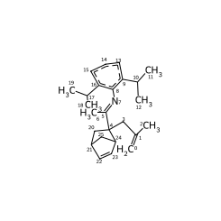 C=C(C)CC1(C(C)=Nc2c(C(C)C)cccc2C(C)C)CC2C=CC1C2